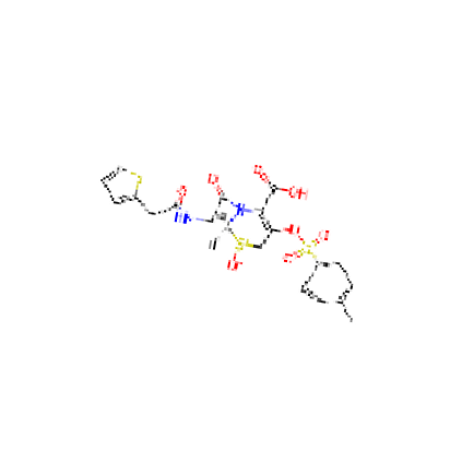 Cc1ccc(S(=O)(=O)OC2=C(C(=O)O)N3C(=O)C(NC(=O)Cc4cccs4)[C@@H]3[S+]([O-])C2)cc1